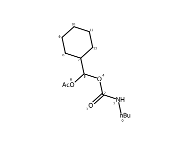 CCCCNC(=O)OC(OC(C)=O)C1CCCCC1